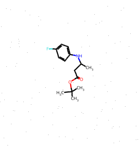 CC(CC(=O)OC(C)(C)C)Nc1ccc(F)cc1